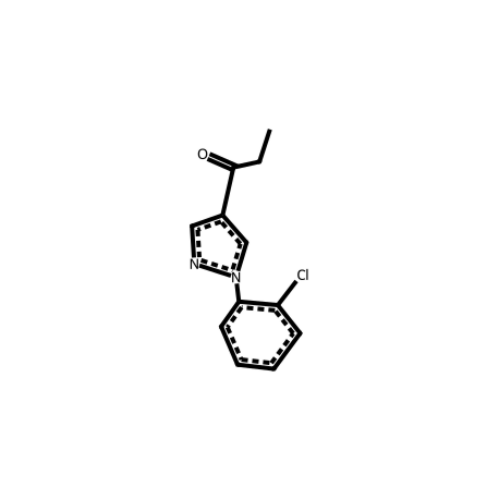 CCC(=O)c1cnn(-c2ccccc2Cl)c1